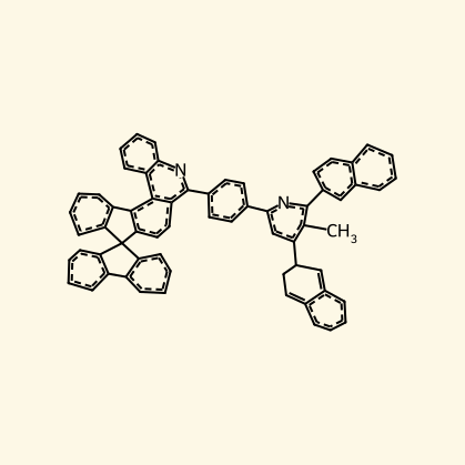 Cc1c(C2C=c3ccccc3=CC2)cc(-c2ccc(-c3nc4ccccc4c4c5c(ccc34)C3(c4ccccc4-c4ccccc43)c3ccccc3-5)cc2)nc1-c1ccc2ccccc2c1